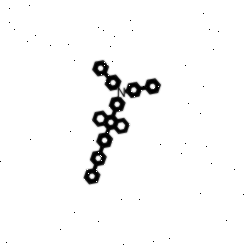 c1ccc(-c2ccc(-c3ccc(-c4c5c(c(-c6ccc(N(c7ccc(-c8ccccc8)cc7)c7ccc(-c8ccccc8)cc7)cc6)c6c4CCCC6)CCCC5)cc3)cc2)cc1